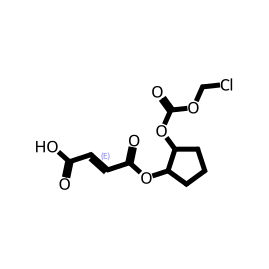 O=C(O)/C=C/C(=O)OC1CCCC1OC(=O)OCCl